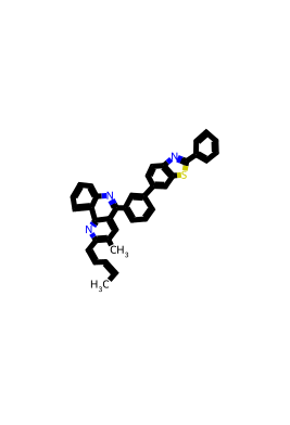 C/C=C\C=C/c1nc2c(cc1C)c(-c1cccc(-c3ccc4nc(-c5ccccc5)sc4c3)c1)nc1ccccc12